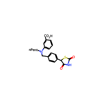 CCCCCN(Cc1ccc(C2SC(=O)NC2=O)cc1)c1cccc(C(=O)O)c1